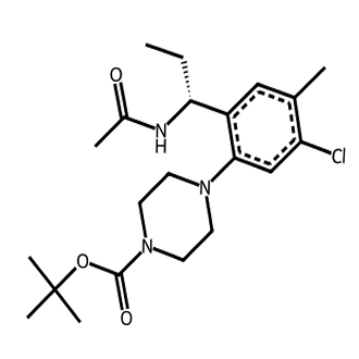 CC[C@@H](NC(C)=O)c1cc(C)c(Cl)cc1N1CCN(C(=O)OC(C)(C)C)CC1